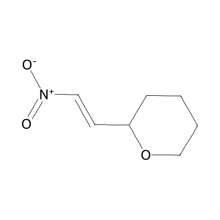 O=[N+]([O-])C=CC1CCCCO1